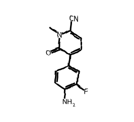 Cn1c(C#N)ccc(-c2ccc(N)c(F)c2)c1=O